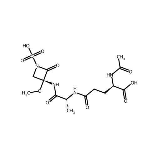 CO[C@]1(NC(=O)[C@@H](C)NC(=O)CC[C@@H](NC(C)=O)C(=O)O)CN(S(=O)(=O)O)C1=O